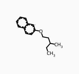 CCC(C)CCOc1[c]c2ccccc2cc1